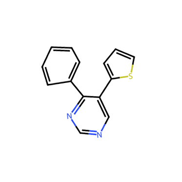 c1ccc(-c2ncncc2-c2cccs2)cc1